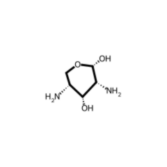 N[C@@H]1[C@H](O)[C@H](N)CO[C@@H]1O